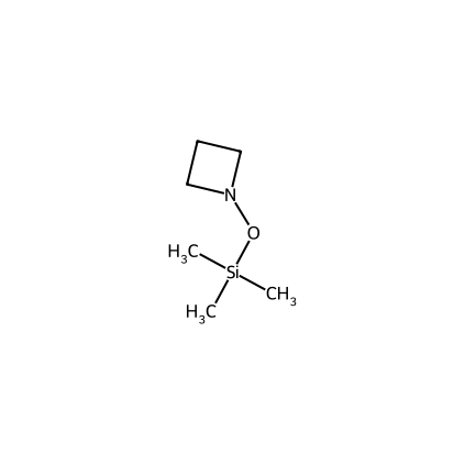 C[Si](C)(C)ON1CCC1